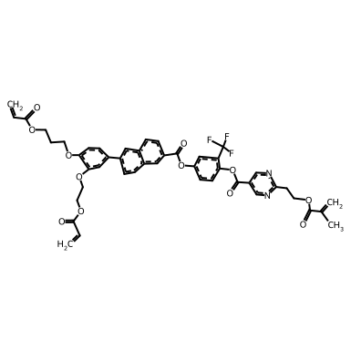 C=CC(=O)OCCCOc1ccc(-c2ccc3cc(C(=O)Oc4ccc(OC(=O)c5cnc(CCOC(=O)C(=C)C)nc5)c(C(F)(F)F)c4)ccc3c2)cc1OCCOC(=O)C=C